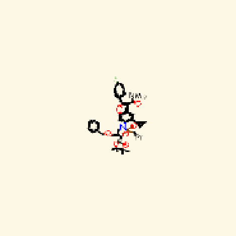 CNC(=O)c1c(-c2ccc(F)cc2)oc2cc(N(CC(COCc3ccccc3)CB3OC(C)(C)C(C)(C)O3)S(=O)(=O)CC(C)C)c(C3CC3)cc12